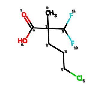 CC(CCCCl)(C(=O)O)C(F)F